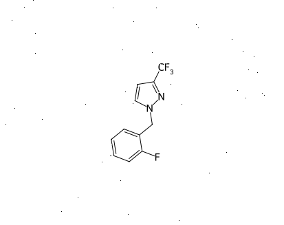 Fc1c[c]ccc1Cn1ccc(C(F)(F)F)n1